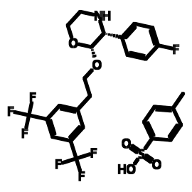 Cc1ccc(S(=O)(=O)O)cc1.Fc1ccc([C@H]2NCCO[C@H]2OCCc2cc(C(F)(F)F)cc(C(F)(F)F)c2)cc1